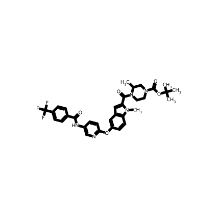 CC1CN(C(=O)OC(C)(C)C)CCN1C(=O)c1cc2cc(Oc3ccc(NC(=O)c4ccc(C(F)(F)F)cc4)cn3)ccc2n1C